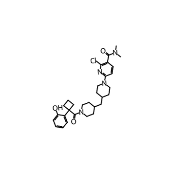 CN(C)C(=O)c1ccc(N2CCC(CC3CCN(C(=O)C4(c5ccccc5O)CCC4)CC3)CC2)nc1Cl